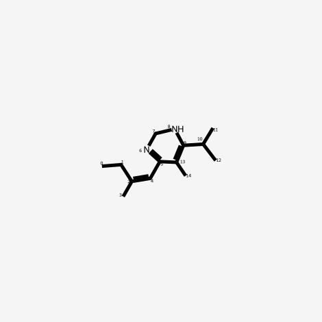 CC/C(C)=C\C1=NCNC(C(C)C)=C1C